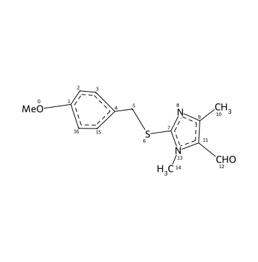 COc1ccc(CSc2nc(C)c(C=O)n2C)cc1